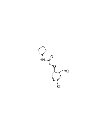 O=Cc1cc(Cl)ccc1OCC(=O)NC1CCCC1